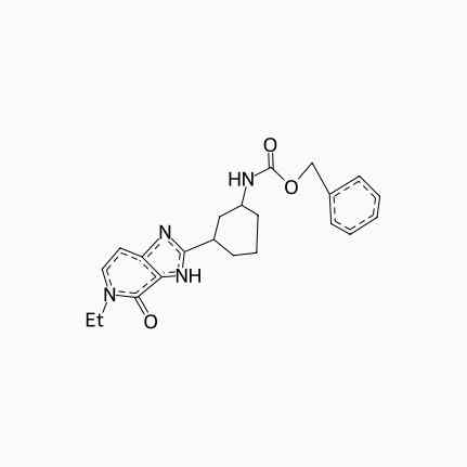 CCn1ccc2nc(C3CCCC(NC(=O)OCc4ccccc4)C3)[nH]c2c1=O